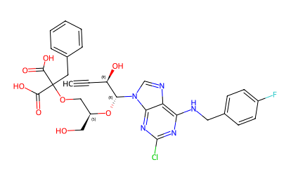 C#C[C@@H](O)[C@@H](O[C@@H](CO)COC(Cc1ccccc1)(C(=O)O)C(=O)O)n1cnc2c(NCc3ccc(F)cc3)nc(Cl)nc21